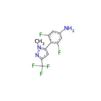 Cn1nc(C(F)(F)F)cc1-c1c(F)cc(N)cc1F